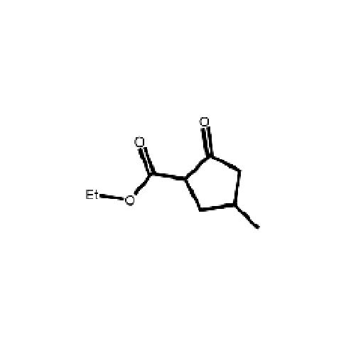 CCOC(=O)C1CC(C)CC1=O